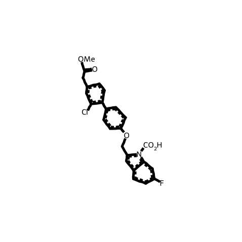 COC(=O)Cc1ccc(-c2ccc(OCc3cc4ccc(F)cc4n3C(=O)O)cc2)c(Cl)c1